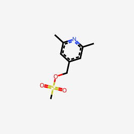 Cc1cc(COS(C)(=O)=O)cc(C)n1